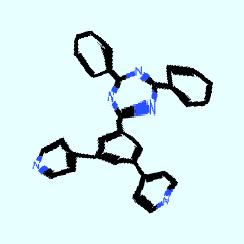 c1ccc(-c2nc(-c3ccccc3)nc(-c3cc(-c4ccncc4)cc(-c4ccncc4)c3)n2)cc1